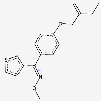 C=C(CC)COc1ccc(/C(=N/OC)c2ccsc2)cc1